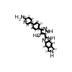 Nc1ccc(-c2ccc(-c3n[nH]c(-c4nc5cc6c(cc5[nH]4)CNC6)c3O)cc2)cn1